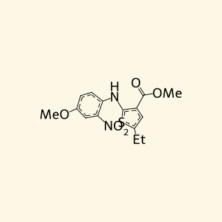 CCc1cc(C(=O)OC)c(Nc2ccc(OC)cc2[N+](=O)[O-])s1